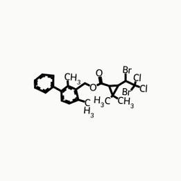 Cc1ccc(-c2ccccc2)c(C)c1COC(=O)C1C(C(Br)C(Cl)(Cl)Br)C1(C)C